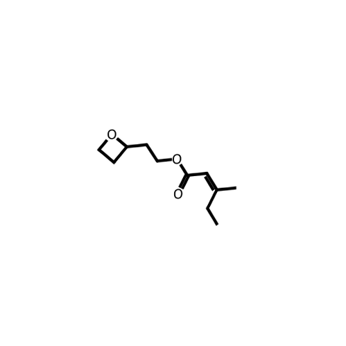 CCC(C)=CC(=O)OCCC1CCO1